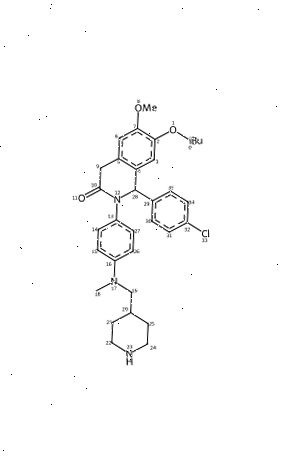 CCC(C)Oc1cc2c(cc1OC)CC(=O)N(c1ccc(N(C)CC3CCNCC3)cc1)C2c1ccc(Cl)cc1